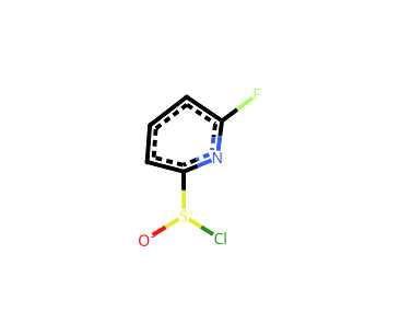 [O-][S+](Cl)c1cccc(F)n1